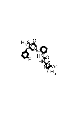 CC(=O)c1sc(NC(=O)N[C@@H]2CCCC[C@H]2CN2CC(=O)N(C)[C@@H](Cc3cccc(F)c3)C2)nc1C